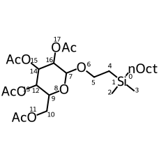 CCCCCCCC[Si](C)(C)CCOC1OC(COC(C)=O)C(OC(C)=O)C(OC(C)=O)C1OC(C)=O